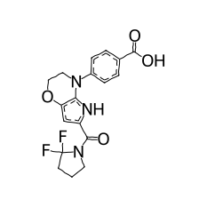 O=C(O)c1ccc(N2CCOc3cc(C(=O)N4CCCC4(F)F)[nH]c32)cc1